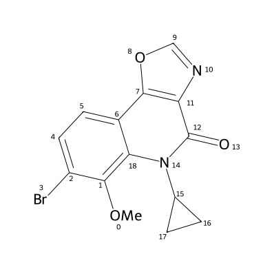 COc1c(Br)ccc2c3ocnc3c(=O)n(C3CC3)c12